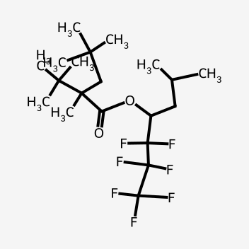 CC(C)CC(OC(=O)C(C)(CC(C)(C)C)C(C)(C)C)C(F)(F)C(F)(F)C(F)(F)F